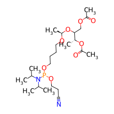 CC(=O)OCC(O[C@H](C)OCCCCOP(OCCC#N)N(C(C)C)C(C)C)[C@@H](C)OC(C)=O